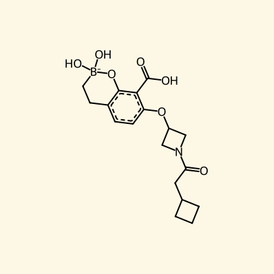 O=C(O)c1c(OC2CN(C(=O)CC3CCC3)C2)ccc2c1O[B-](O)(O)CC2